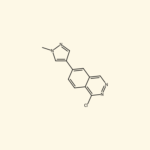 Cn1cc(-c2ccc3c(Cl)nncc3c2)cn1